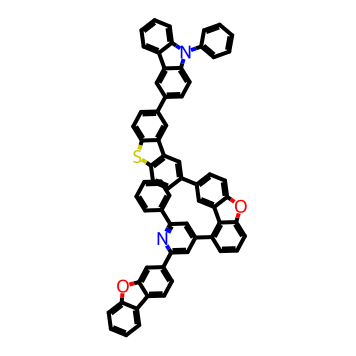 c1ccc(-c2cc(-c3cccc4oc5ccc(-c6ccc7sc8ccc(-c9ccc%10c(c9)c9ccccc9n%10-c9ccccc9)cc8c7c6)cc5c34)cc(-c3ccc4c(c3)oc3ccccc34)n2)cc1